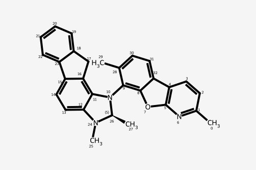 Cc1ccc2c(n1)oc1c(N3c4c(ccc5c4Cc4ccccc4-5)N(C)[C@@H]3C)c(C)ccc12